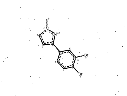 Cn1[c]cc(-c2ccc(Br)c(Br)c2)n1